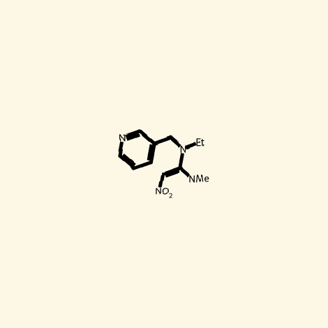 CCN(Cc1cccnc1)C(=C[N+](=O)[O-])NC